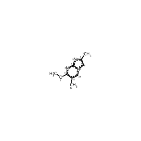 COc1nc2nc(C)cn2cc1C